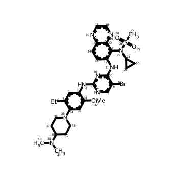 CCc1cc(Nc2ncc(Br)c(Nc3ccc4nccnc4c3N(C3CC3)S(C)(=O)=O)n2)c(OC)cc1N1CCC(N(C)C)CC1